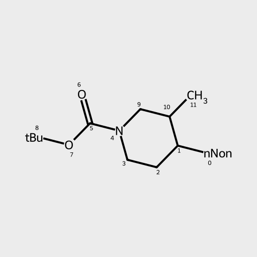 CCCCCCCCCC1CCN(C(=O)OC(C)(C)C)CC1C